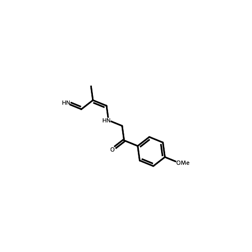 COc1ccc(C(=O)CN/C=C(/C)C=N)cc1